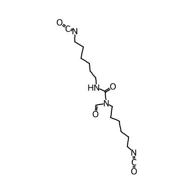 O=C=NCCCCCCNC(=O)N(C=O)CCCCCCN=C=O